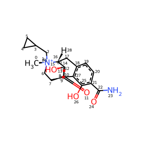 C[N@+]1(CC2CC2)CC[C@]23CC(=O)CC[C@@]2(O)[C@H]1Cc1ccc(C(N)=O)c(O)c13